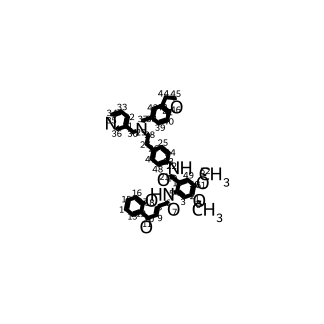 COc1cc(NC(=O)c2cc(=O)c3ccccc3o2)c(C(=O)Nc2ccc(CCN(Cc3cccnc3)Cc3ccc4c(c3)CCO4)cc2)cc1OC